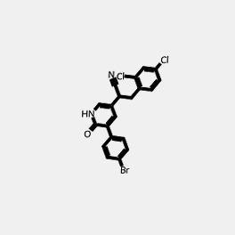 N#CC(Cc1ccc(Cl)cc1Cl)c1c[nH]c(=O)c(-c2ccc(Br)cc2)c1